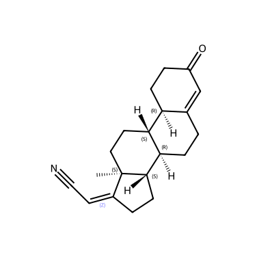 C[C@]12CC[C@H]3[C@@H](CCC4=CC(=O)CC[C@@H]43)[C@@H]1CC/C2=C/C#N